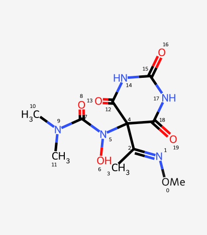 CON=C(C)C1(N(O)C(=O)N(C)C)C(=O)NC(=O)NC1=O